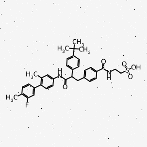 Cc1ccc(-c2ccc(NC(=O)C(Cc3ccc(C(=O)NCCS(=O)(=O)O)cc3)c3ccc(C(C)(C)C)cc3)cc2C)cc1F